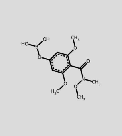 COc1cc(OB(O)O)cc(OC)c1C(=O)N(C)OC